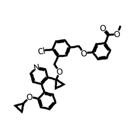 COC(=O)c1cccc(OCc2ccc(Cl)c(COC3(c4cnccc4-c4ccccc4OC4CC4)CC3)c2)c1